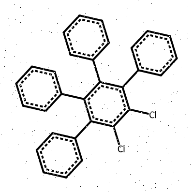 Clc1c(Cl)c(-c2ccccc2)c(-c2ccccc2)c(-c2ccccc2)c1-c1ccccc1